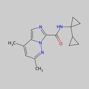 Cc1cc(C)c2cnc(C(=O)NC3(C4CC4)CC3)n2n1